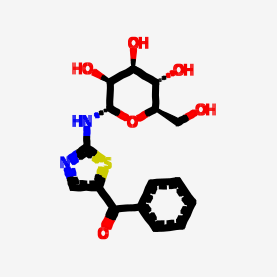 O=C(c1ccccc1)c1cnc(N[C@H]2O[C@H](CO)[C@@H](O)[C@H](O)[C@@H]2O)s1